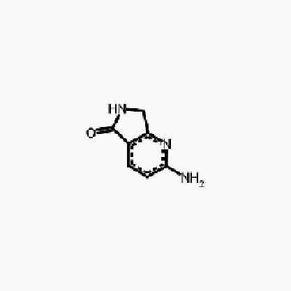 Nc1ccc2c(n1)CNC2=O